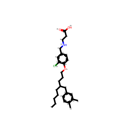 CCCCCC(CCCOc1ccc(CNCCC(=O)O)cc1Cl)Cc1ccc(C)c(C)c1